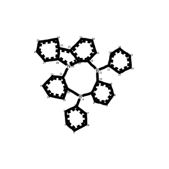 c1ccc(B2c3ccccc3B(c3ccccc3)c3cccc4c5ccccc5n(c34)-c3ccccc32)cc1